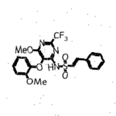 COc1ccccc1Oc1c(NS(=O)(=O)C=Cc2ccccc2)nc(C(F)(F)F)nc1OC